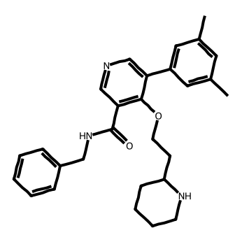 Cc1cc(C)cc(-c2cncc(C(=O)NCc3ccccc3)c2OCCC2CCCCN2)c1